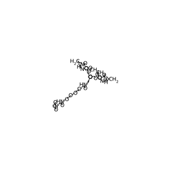 C=C1C[C@H]2C=Nc3cc(OCc4cc(C#CCNC(=O)CCOCCOCCOCCOCCNC(=O)CCN5C(=O)C=CC5=O)cc(COc5cc6c(cc5OC)C(=O)N5CC(=C)C[C@H]5C=N6)c4)c(OC)cc3C(=O)N2C1